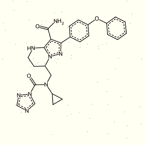 NC(=O)c1c(-c2ccc(Oc3ccccc3)cc2)nn2c1NCCC2CN(C(=O)n1cncn1)C1CC1